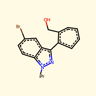 CC(C)n1nc(-c2ccccc2CO)c2cc(Br)ccc21